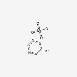 [K+].[O]=[Mn](=[O])(=[O])[O-].c1cncnc1